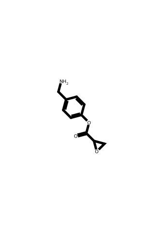 NCc1ccc(OC(=O)C2CO2)cc1